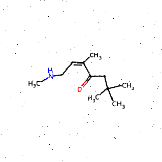 CNCC=C(C)C(=O)CC(C)(C)C